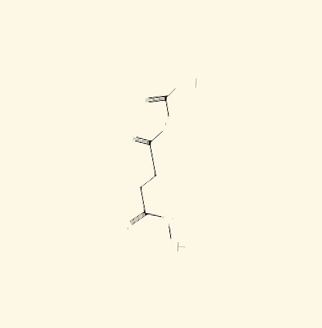 CC(=O)OC(=O)CCC(=O)OS